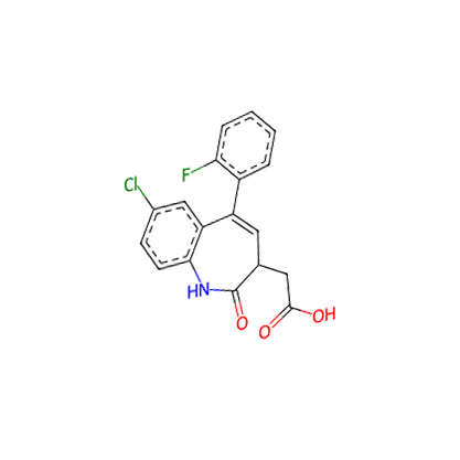 O=C(O)CC1C=C(c2ccccc2F)c2cc(Cl)ccc2NC1=O